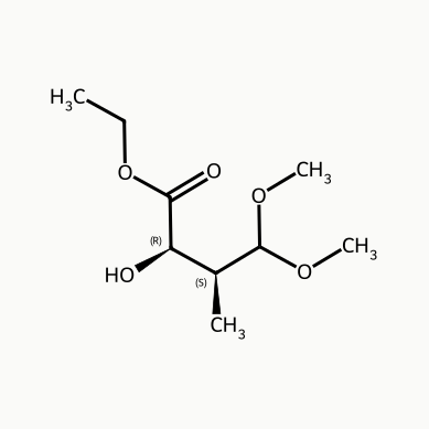 CCOC(=O)[C@H](O)[C@H](C)C(OC)OC